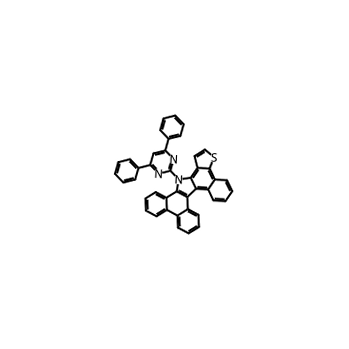 c1ccc(-c2cc(-c3ccccc3)nc(-n3c4c5ccccc5c5ccccc5c4c4c5ccccc5c5sccc5c43)n2)cc1